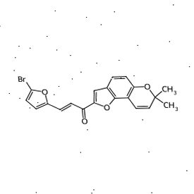 CC1(C)C=Cc2c(ccc3cc(C(=O)/C=C/c4ccc(Br)o4)oc23)O1